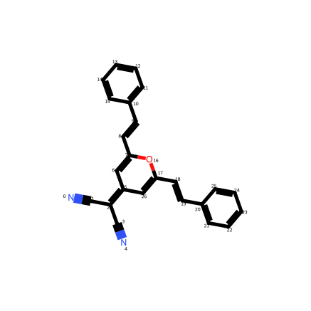 N#CC(C#N)=C1C=C(/C=C/c2ccccc2)OC(/C=C/c2ccccc2)=C1